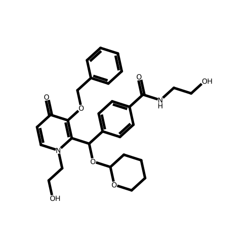 O=C(NCCO)c1ccc(C(OC2CCCCO2)c2c(OCc3ccccc3)c(=O)ccn2CCO)cc1